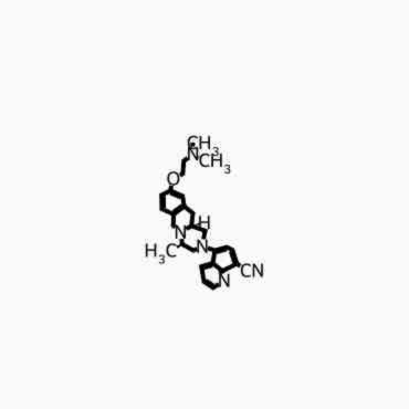 C[C@@H]1CN(c2ccc(C#N)c3ncccc23)C[C@@H]2Cc3cc(OCCN(C)C)ccc3CN21